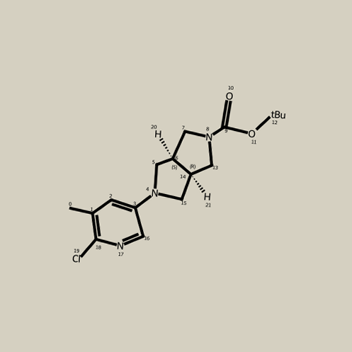 Cc1cc(N2C[C@H]3CN(C(=O)OC(C)(C)C)C[C@H]3C2)cnc1Cl